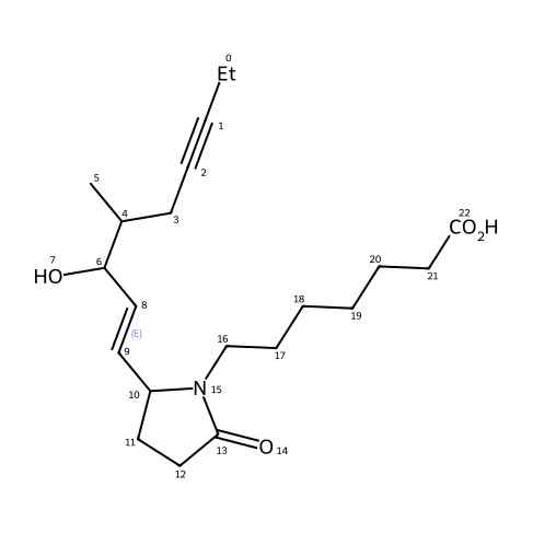 CCC#CCC(C)C(O)/C=C/C1CCC(=O)N1CCCCCCC(=O)O